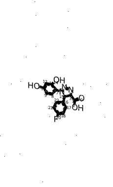 O=C(O)C1N=NN(c2ccc(O)cc2O)C1c1ccc(F)cc1